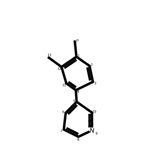 Cc1ccc(-c2cccnc2)cc1C